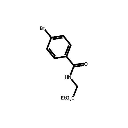 CCOC(=O)CNC(=O)c1ccc(Br)cc1